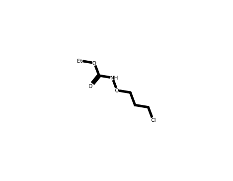 CCOC(=O)NOCCCCl